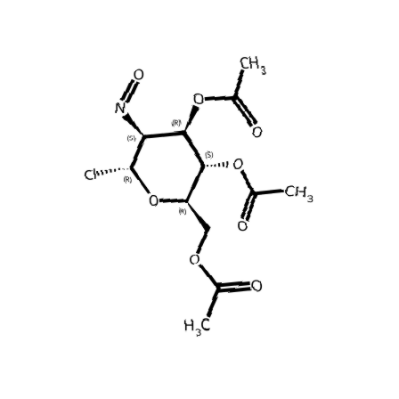 CC(=O)OC[C@H]1O[C@H](Cl)[C@@H](N=O)[C@@H](OC(C)=O)[C@@H]1OC(C)=O